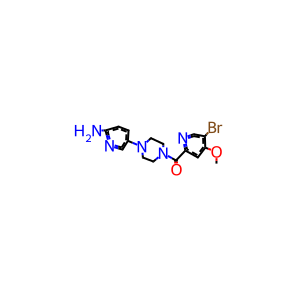 COc1cc(C(=O)N2CCN(c3ccc(N)nc3)CC2)ncc1Br